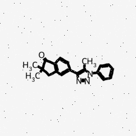 Cc1c(-c2ccc3c(c2)CC(C)(C)C3=O)nnn1-c1ccccc1